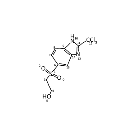 O=S(=O)(CCO)c1ccc2[nH]c(C(Cl)(Cl)Cl)nc2c1